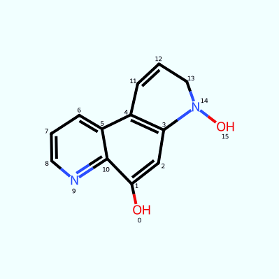 Oc1cc2c(c3cccnc13)C=CCN2O